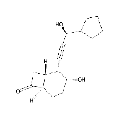 O=C1C[C@@H]2[C@H](C#C[C@@H](O)C3CCCC3)[C@H](O)CC[C@@H]12